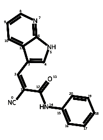 N#CC(=Cc1c[nH]c2ncccc12)C(=O)Nc1ccccc1